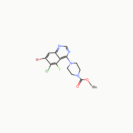 CC(C)(C)OC(=O)N1CCN(c2ncnc3cc(Br)c(Cl)c(F)c23)CC1